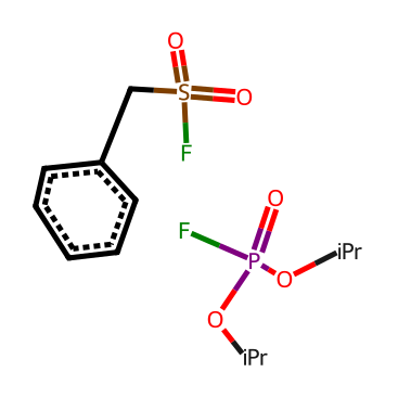 CC(C)OP(=O)(F)OC(C)C.O=S(=O)(F)Cc1ccccc1